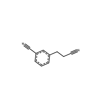 N#CCCc1cccc(C#N)c1